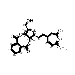 NC1=NC(=O)CC(CC[C@@H]2O[C@H](CO)[C@H]3OC(=O)c4ccccc4C(=O)O[C@H]32)C=C1